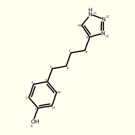 Oc1ccc(CCCCc2c[nH]nn2)cc1